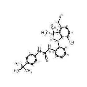 CC(C)(C)c1ccc(NC(=O)Nc2ccccc2N2CC(C)(C)c3c(CF)ccc(O)c32)cc1